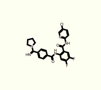 N=C(c1ccc(C(=O)Nc2cc(F)c(F)cc2C(=O)Nc2ccc(Cl)cn2)cc1)N1CCCC1